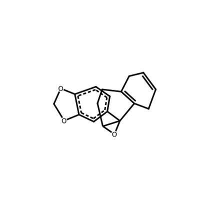 C1=CCC2=C(C1)CCC1OC21c1ccc2c(c1)OCO2